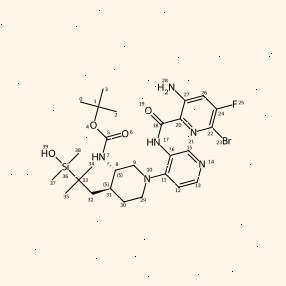 CC(C)(C)OC(=O)N[C@@H]1CN(c2ccncc2NC(=O)c2nc(Br)c(F)cc2N)CC[C@H]1CC(C)(C)[Si](C)(C)O